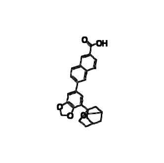 O=C(O)c1ccc2cc(-c3cc4c(c(C56CC7CC(CC(C7)O5)C6)c3)OCO4)ccc2c1